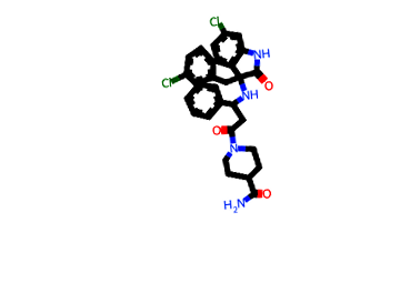 NC(=O)C1CCN(C(=O)CC(NC2(Cc3cccc(Cl)c3)C(=O)Nc3cc(Cl)ccc32)c2ccccc2)CC1